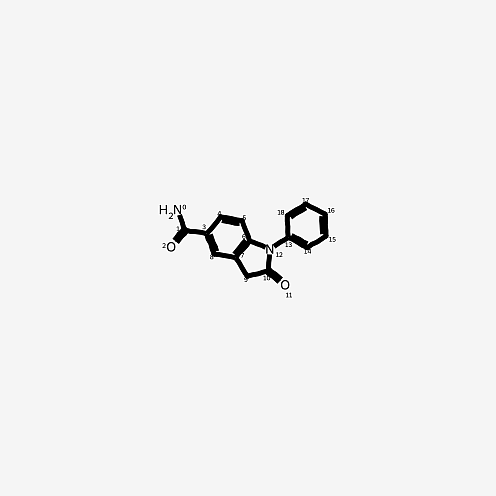 NC(=O)c1ccc2c(c1)CC(=O)N2c1ccccc1